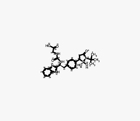 CC(C)(C)N1C(=O)CC(c2ccc(C[C@H](NC(=O)NCC(=O)O)c3nc4ccccc4[nH]3)cc2)S1(O)O